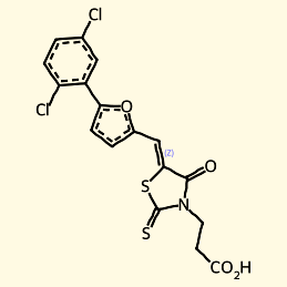 O=C(O)CCN1C(=O)/C(=C/c2ccc(-c3cc(Cl)ccc3Cl)o2)SC1=S